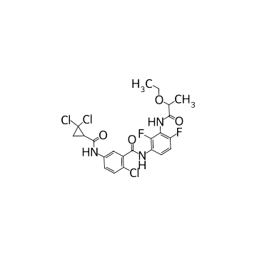 CCOC(C)C(=O)Nc1c(F)ccc(NC(=O)c2cc(NC(=O)C3CC3(Cl)Cl)ccc2Cl)c1F